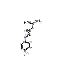 CC(C)c1ccc(/C=N/NCC(=N)N)cc1